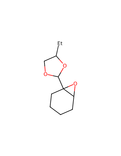 CCC1COC(C23CCCCC2O3)O1